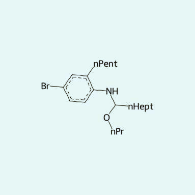 CCCCCCCC(Nc1ccc(Br)cc1CCCCC)OCCC